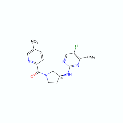 COc1nc(N[C@H]2CCN(C(=O)c3ccc([N+](=O)[O-])cn3)C2)ncc1Cl